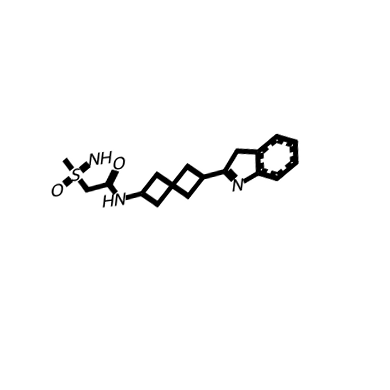 CS(=N)(=O)CC(=O)NC1CC2(C1)CC(C1=Nc3ccccc3C1)C2